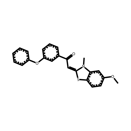 COc1ccc2c(c1)N(C)/C(=C\C(=O)c1cccc(Oc3ccccc3)c1)S2